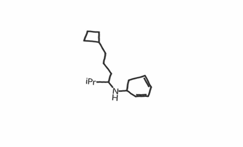 CC(C)C(CCCC1CCC1)NC1C=CC=CC1